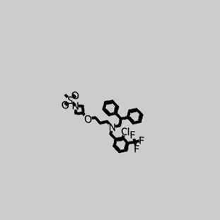 CS(=O)(=O)N1CC(OCCCN(Cc2cccc(C(F)(F)F)c2Cl)CC(c2ccccc2)c2ccccc2)C1